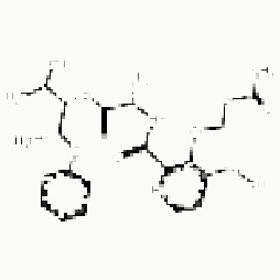 COc1ccnc(C(=O)N[C@@H](C)C(=O)O[C@@H](C(C)C)[C@@H](C)Oc2ccccc2)c1OCOC(C)=O